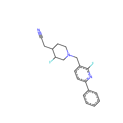 N#CCC1CCN(Cc2ccc(-c3ccccc3)nc2F)CC1F